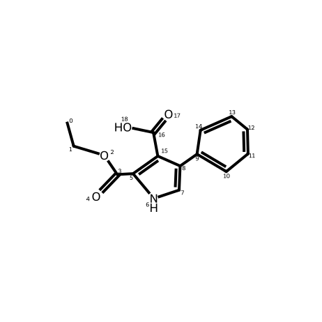 CCOC(=O)c1[nH]cc(-c2ccccc2)c1C(=O)O